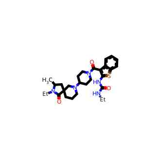 [CH2]CN1C(=O)C2(CCCN(C3CCN(C(=O)c4c(NC(=O)NCC)sc5ccccc45)CC3)C2)CC1C